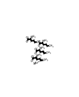 CCCCC(N)C(=O)[O-].CCCCC(N)C(=O)[O-].CCCCC(N)C(=O)[O-].CCCCC(N)C(=O)[O-].[Mo+4]